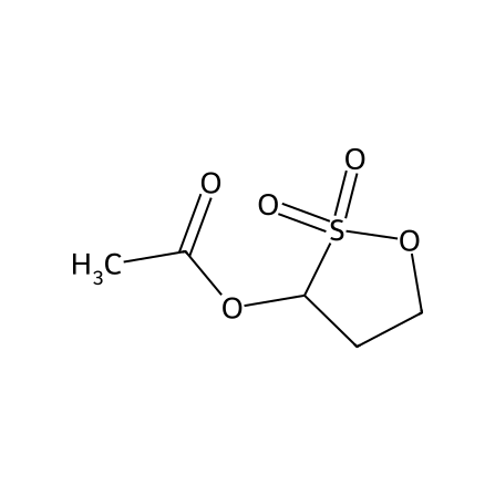 CC(=O)OC1CCOS1(=O)=O